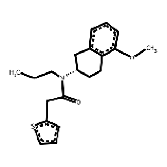 CCCN(C(=O)Cc1cccs1)[C@H]1CCc2c(cccc2OC)C1